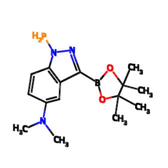 CN(C)c1ccc2c(c1)c(B1OC(C)(C)C(C)(C)O1)nn2P